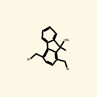 CCCCC1(C)c2ccccc2-c2c(CBr)ccc(CBr)c21